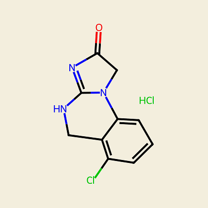 Cl.O=C1CN2C(=N1)NCc1c(Cl)cccc12